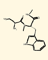 CNC(=O)[C@H](Cc1c[nH]c2ccccc12)N(C)C(=O)[C@@H](N)CS